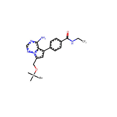 CC(C)(C)[Si](C)(C)OCc1cc(-c2ccc(C(=O)NCC(F)(F)F)cc2)c2c(N)ncnn12